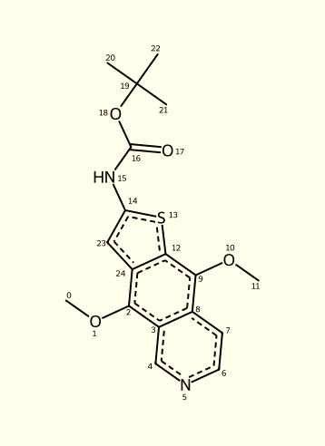 COc1c2cnccc2c(OC)c2sc(NC(=O)OC(C)(C)C)cc12